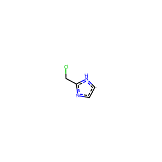 ClCc1nc[c][nH]1